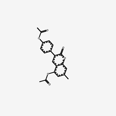 CC(=O)Oc1ccc(-c2cc3c(OC(C)=O)cc(C)cc3oc2=O)cc1